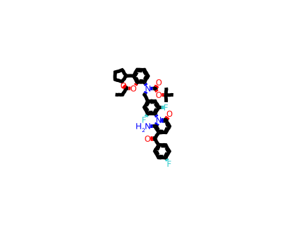 CCC(=O)Oc1c(C2CCCC2)cccc1N(Cc1cc(F)c(-n2c(N)c(C(=O)c3ccc(F)cc3)ccc2=O)c(F)c1)C(=O)OC(C)(C)C